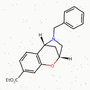 CCOC(=O)c1ccc2c(c1)O[C@@H]1C[C@H]2N(Cc2ccccc2)C1